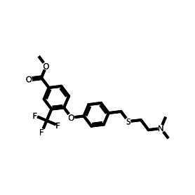 COC(=O)c1ccc(Oc2ccc(CSCCN(C)C)cc2)c(C(F)(F)F)c1